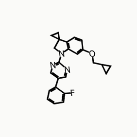 Fc1ccccc1-c1cnc(N2CC3(CC3)c3ccc(OCC4CC4)cc32)nc1